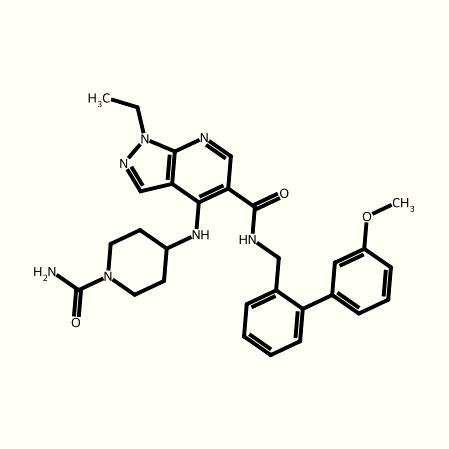 CCn1ncc2c(NC3CCN(C(N)=O)CC3)c(C(=O)NCc3ccccc3-c3cccc(OC)c3)cnc21